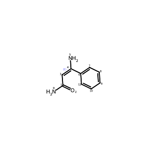 NC(=O)/C=C(/N)c1ccccc1